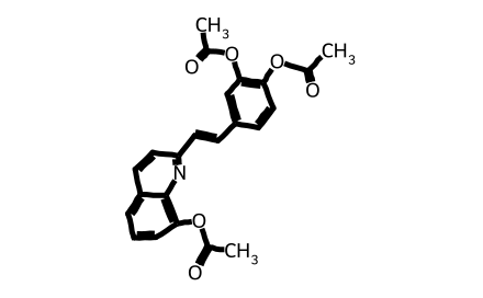 CC(=O)Oc1ccc(C=Cc2ccc3cccc(OC(C)=O)c3n2)cc1OC(C)=O